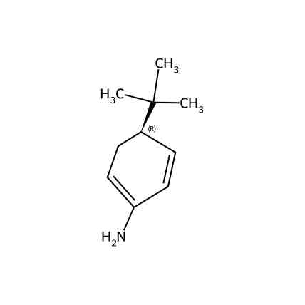 CC(C)(C)[C@H]1C=CC(N)=CC1